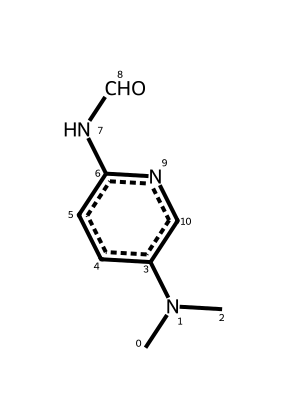 CN(C)c1ccc(NC=O)nc1